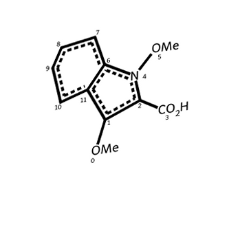 COc1c(C(=O)O)n(OC)c2ccccc12